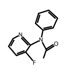 CC(=O)N(c1ccccc1)c1ncccc1F